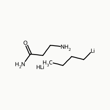 NCCC(N)=O.[LiH].[Li][CH2]CCC